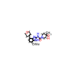 COc1ccc(C2=CCOCC2)c2nc(NC(=O)N3CCC(C)(O)CC3)[nH]c12